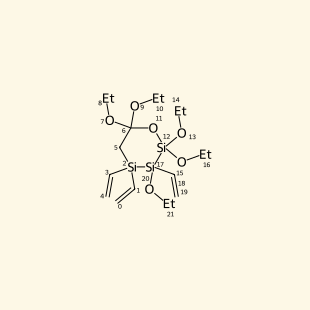 C=C[Si]1(C=C)CC(OCC)(OCC)O[Si](OCC)(OCC)[Si]1(C=C)OCC